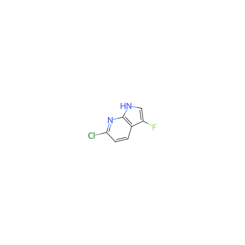 Fc1c[nH]c2nc(Cl)ccc12